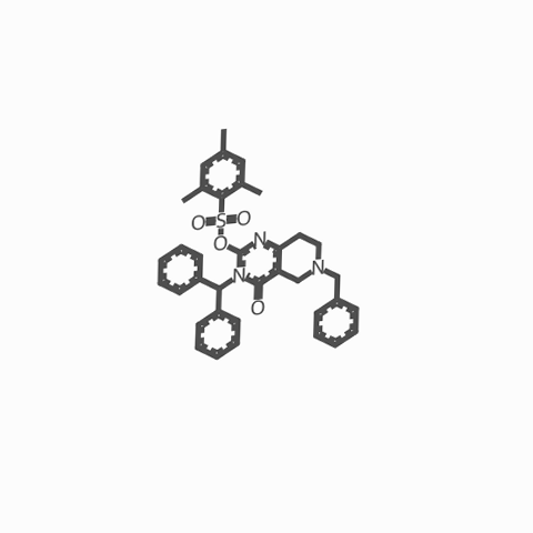 Cc1cc(C)c(S(=O)(=O)Oc2nc3c(c(=O)n2C(c2ccccc2)c2ccccc2)CN(Cc2ccccc2)CC3)c(C)c1